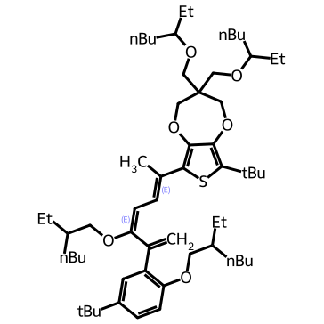 C=C(/C(=C\C=C(/C)c1sc(C(C)(C)C)c2c1OCC(COC(CC)CCCC)(COC(CC)CCCC)CO2)OCC(CC)CCCC)c1cc(C(C)(C)C)ccc1OCC(CC)CCCC